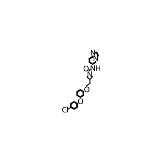 O=C(Nc1ccc2nccn2c1)N1CC(CCOc2cccc(Oc3ccc(Cl)cc3)c2)C1